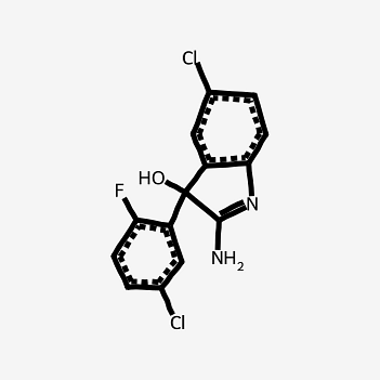 NC1=Nc2ccc(Cl)cc2C1(O)c1cc(Cl)ccc1F